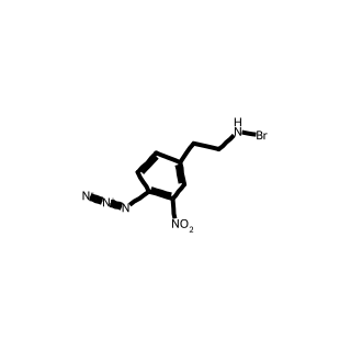 [N-]=[N+]=Nc1ccc(CCNBr)cc1[N+](=O)[O-]